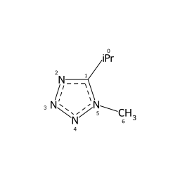 CC(C)c1nnnn1C